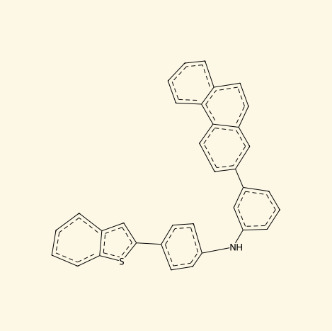 c1cc(Nc2ccc(-c3cc4ccccc4s3)cc2)cc(-c2ccc3c(ccc4ccccc43)c2)c1